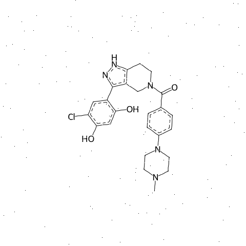 CN1CCN(c2ccc(C(=O)N3CCc4[nH]nc(-c5cc(Cl)c(O)cc5O)c4C3)cc2)CC1